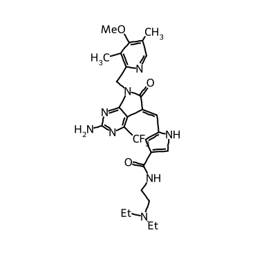 CCN(CC)CCNC(=O)c1c[nH]c(/C=C2/C(=O)N(Cc3ncc(C)c(OC)c3C)c3nc(N)nc(C(F)(F)F)c32)c1